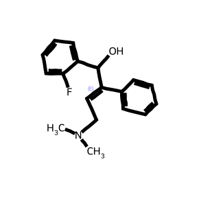 CN(C)C/C=C(\c1ccccc1)C(O)c1ccccc1F